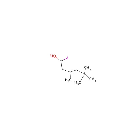 CC(CC(O)I)CC(C)(C)C